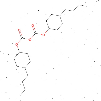 CCCCC1CCC(OC(=O)OC(=O)OC2CCC(CCCC)CC2)CC1